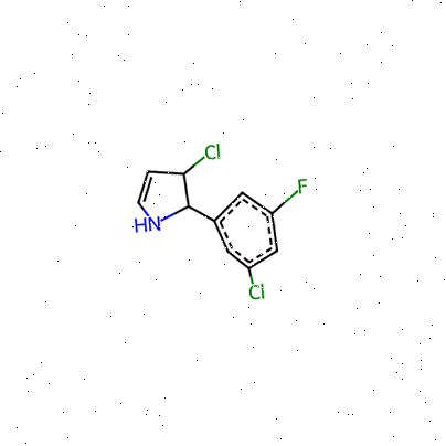 Fc1cc(Cl)cc(C2NC=CC2Cl)c1